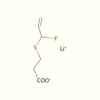 C=CC(F)SCCC(=O)[O-].[Li+]